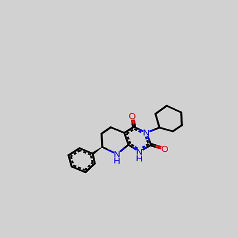 O=c1[nH]c2c(c(=O)n1C1CCCCC1)CC[C@H](c1ccccc1)N2